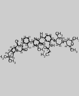 C=CC(=O)Nc1cc(Nc2nc(-c3ccnc(N4CCn5c(cc6c5CC(C)(C)C6)C4=O)c3CO)cn(C)c2=O)ccc1N1CCN(C2C[C@@H](C)O[C@@H](C)C2)C[C@@H]1C